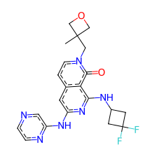 CC1(Cn2ccc3cc(Nc4cnccn4)nc(NC4CC(F)(F)C4)c3c2=O)COC1